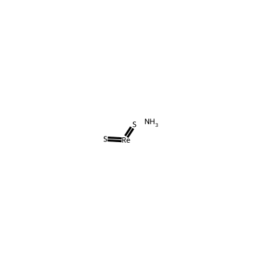 N.[S]=[Re]=[S]